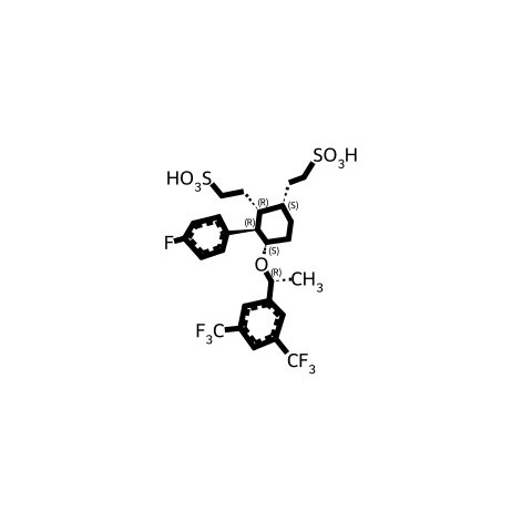 C[C@@H](O[C@H]1CC[C@@H](CCS(=O)(=O)O)[C@@H](CCS(=O)(=O)O)[C@@H]1c1ccc(F)cc1)c1cc(C(F)(F)F)cc(C(F)(F)F)c1